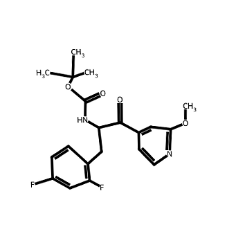 COc1cc(C(=O)C(Cc2ccc(F)cc2F)NC(=O)OC(C)(C)C)ccn1